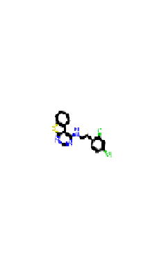 Clc1ccc(CCNc2ncnc3sc4c(c23)CCCC4)c(Cl)c1